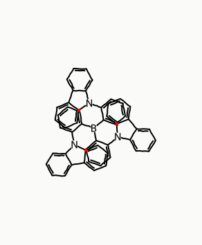 c1ccc(-n2c3ccccc3c3ccccc32)c(B(c2ccccc2-n2c3ccccc3c3ccccc32)c2ccccc2-n2c3ccccc3c3ccccc32)c1